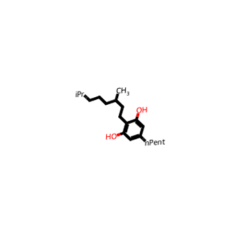 CCCCCc1cc(O)c(CCC(C)CCCC(C)C)c(O)c1